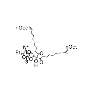 CCCCCCCC/C=C\CCCCCCCC(=O)C(O)(C(=O)CCCCCCC/C=C\CCCCCCCC)[C@H](CO)OP(=O)([O-])O[C@@H](CC)C[N+](C)(C)C